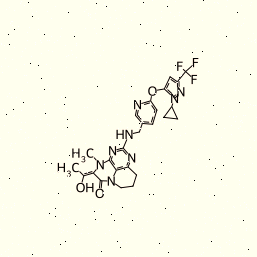 C/C(O)=C1/C(=O)N2CCCc3nc(NCc4ccc(Oc5cc(C(F)(F)F)nn5C5CC5)nc4)nc(c32)N1C